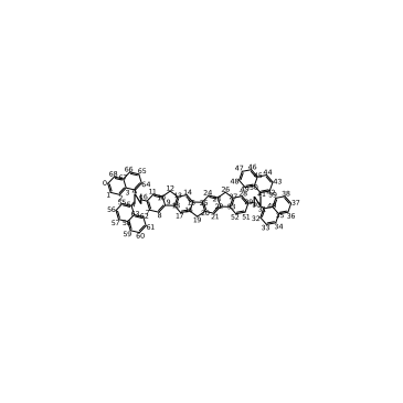 c1ccc2c(N(c3ccc4c(c3)Cc3cc5c(cc3-4)Cc3cc4c(cc3-5)Cc3cc(N(c5cccc6ccccc56)c5cccc6ccccc56)ccc3-4)c3cccc4ccccc34)cccc2c1